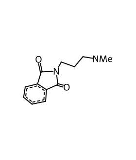 CNCCCN1C(=O)c2ccccc2C1=O